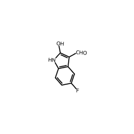 O=Cc1c(O)[nH]c2ccc(F)cc12